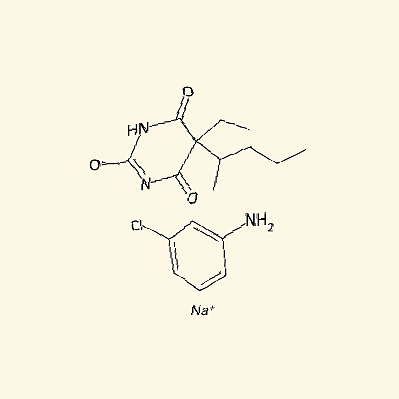 CCCC(C)C1(CC)C(=O)N=C([O-])NC1=O.Nc1cccc(Cl)c1.[Na+]